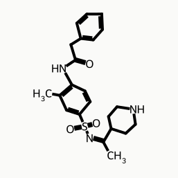 C/C(=N/S(=O)(=O)c1ccc(NC(=O)Cc2ccccc2)c(C)c1)C1CCNCC1